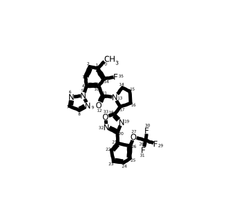 Cc1ccc(-n2nccn2)c(C(=O)N2CCCC2c2nc(-c3ccccc3OC(F)(F)F)no2)c1F